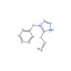 C=CCc1[nH]cc[n+]1Cc1ccccc1